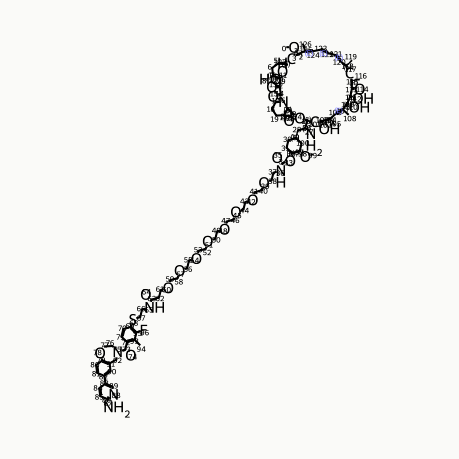 CO[C@H]1C[C@@H]2CC[C@@H](C)[C@@](O)(O2)C(=O)C(=O)N2CCCC[C@H]2C(=O)O[C@H]([C@H](N)C[C@@H]2CC[C@@H](OC(=O)NCCOCCOCCOCCOCCOCCOCCOCCOCCC(=O)NCCSc3ccc(C(=O)N4CCOc5ccc(-c6ccc(N)nc6)cc5C4)c(C)c3F)[C@H](OC)C2)C[C@@H](O)[C@H](C)/C=C(\C)[C@@H](O)[C@@H](O)C(=O)[C@H](C)C[C@H](C)/C=C/C=C/C=C/1C